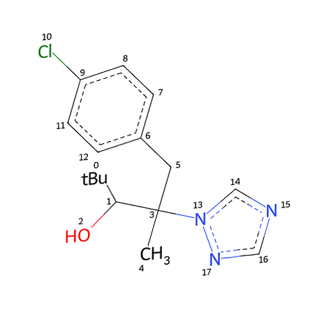 CC(C)(C)C(O)C(C)(Cc1ccc(Cl)cc1)n1cncn1